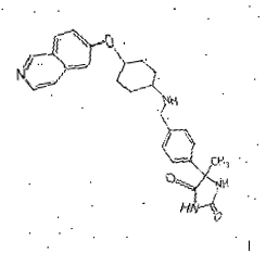 CC1(c2ccc(CNC3CCC(Oc4ccc5cnccc5c4)CC3)cc2)NC(=O)NC1=O